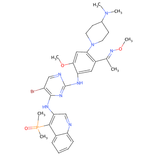 CO/N=C(\C)c1cc(Nc2ncc(Br)c(Nc3cnc4ccccc4c3P(C)(C)=O)n2)c(OC)cc1N1CCC(N(C)C)CC1